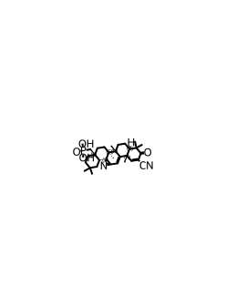 CC1(C)CC[C@]2(CP(=O)(O)O)CC[C@@]3(C)[C@]4(C)CC[C@H]5C(C)(C)C(=O)C(C#N)=C[C@]5(C)C4=CC4=N[C@]43C2C1